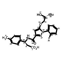 Cc1ccc([C@H](CC(=O)O)NC(=O)c2cc(OC[C@H](O)C(C)(C)C)n(-c3ccccc3F)n2)cc1